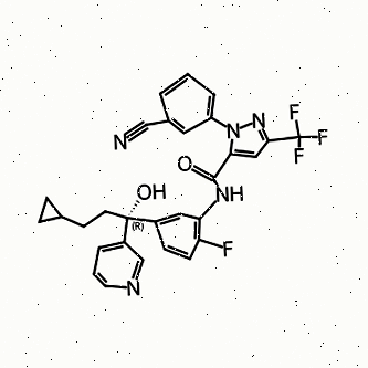 N#Cc1cccc(-n2nc(C(F)(F)F)cc2C(=O)Nc2cc([C@](O)(CCC3CC3)c3cccnc3)ccc2F)c1